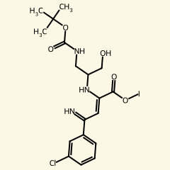 CC(C)(C)OC(=O)NCC(CO)N/C(=C\C(=N)c1cccc(Cl)c1)C(=O)OI